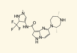 C[C@H]1CCN(C2=NC3=C(C(=O)NC4=CN(C)NC4C(F)(F)F)CNN3C=C2)[C@@H](C)CN1